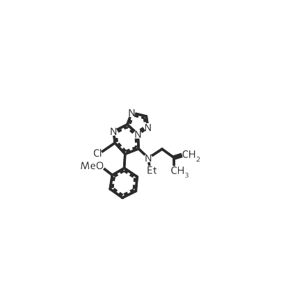 C=C(C)CN(CC)c1c(-c2ccccc2OC)c(Cl)nc2ncnn12